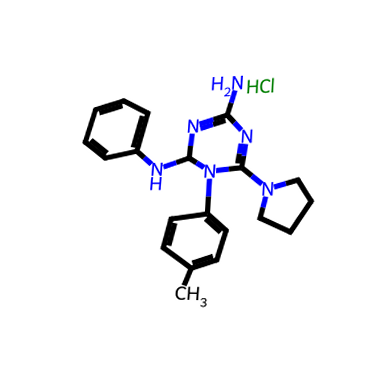 Cc1ccc(N2C(N3CCCC3)=NC(N)=NC2Nc2ccccc2)cc1.Cl